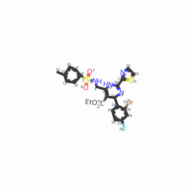 CCOC(=O)C1=C(CNS(=O)(=O)c2ccc(C)cc2)NC(c2nccs2)=NC1c1ccc(F)cc1Br